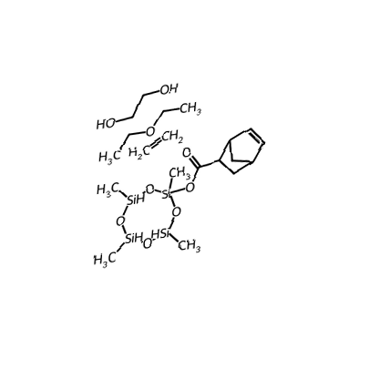 C=C.CCOCC.C[SiH]1O[SiH](C)O[Si](C)(OC(=O)C2CC3C=CC2C3)O[SiH](C)O1.OCCO